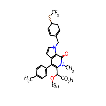 Cc1ccc(-c2c(C(OC(C)(C)C)C(=O)O)n(C)c(=O)c3c2ccn3CC2=CCC(SC(F)(F)F)C=C2)cc1